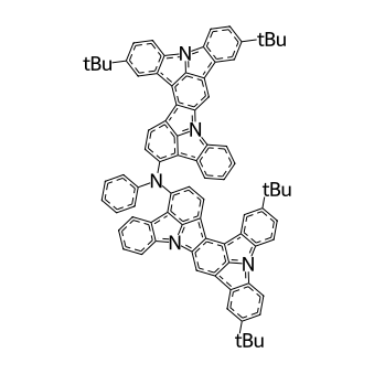 CC(C)(C)c1ccc2c(c1)c1cc3c(c4ccc(N(c5ccccc5)c5ccc6c7c8c9cc(C(C)(C)C)ccc9n9c%10ccc(C(C)(C)C)cc%10c(cc7n7c%10ccccc%10c5c67)c89)c5c6ccccc6n3c45)c3c4cc(C(C)(C)C)ccc4n2c13